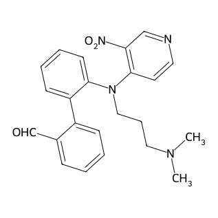 CN(C)CCCN(c1ccccc1-c1ccccc1C=O)c1ccncc1[N+](=O)[O-]